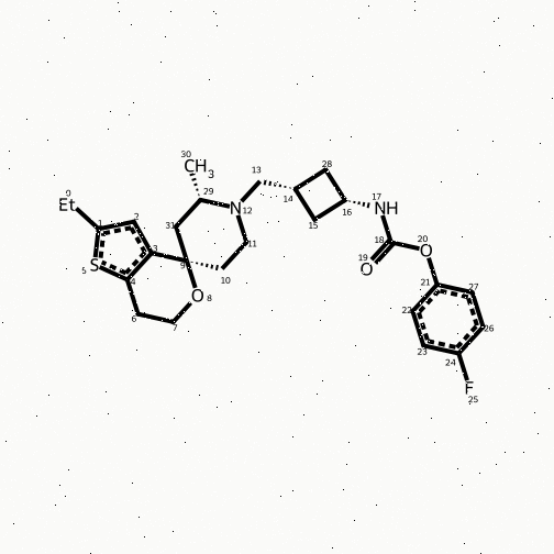 CCc1cc2c(s1)CCO[C@@]21CCN(C[C@H]2C[C@@H](NC(=O)Oc3ccc(F)cc3)C2)[C@@H](C)C1